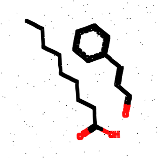 CCCCCCCCC(=O)O.O=CC=Cc1ccccc1